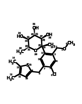 COCc1cc(Cl)c(Cc2cc(C)c(C)s2)cc1[C@]1(C)O[C@H](C)[C@@H](O)[C@H](O)[C@H]1O